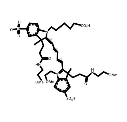 COCCNC(=O)CCC1(C)C(/C=C/C=C/C=C2/N(CCCCCC(=O)O)c3ccc(S(=O)(=O)[O-])cc3C2(C)CCC(=O)NCCOC)=[N+](CCOC)c2ccc(S(=O)(=O)O)cc21